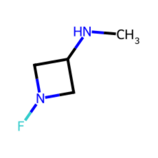 CNC1CN(F)C1